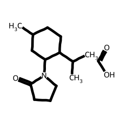 CC1CCC(C(C)C)C(N2CCCC2=O)C1.O=CO